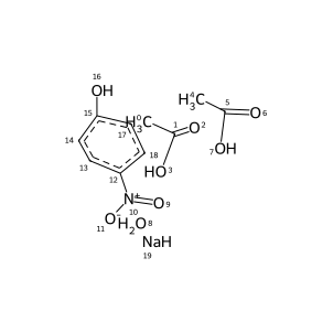 CC(=O)O.CC(=O)O.O.O=[N+]([O-])c1ccc(O)cc1.[NaH]